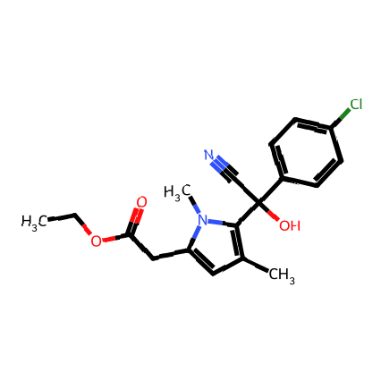 CCOC(=O)Cc1cc(C)c(C(O)(C#N)c2ccc(Cl)cc2)n1C